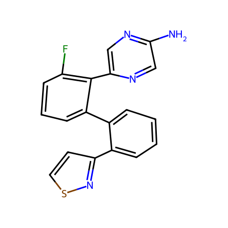 Nc1cnc(-c2c(F)cccc2-c2ccccc2-c2ccsn2)cn1